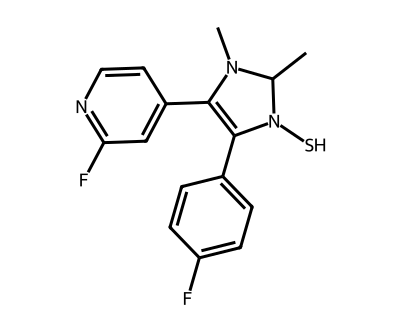 CC1N(C)C(c2ccnc(F)c2)=C(c2ccc(F)cc2)N1S